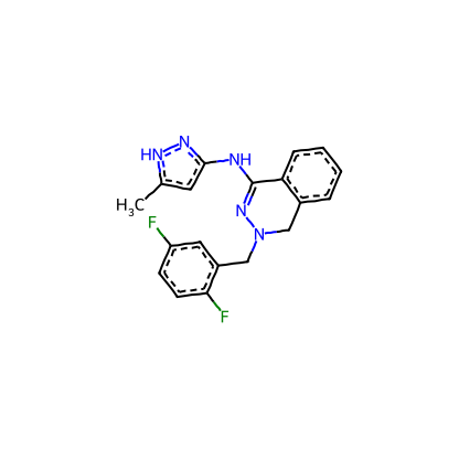 Cc1cc(NC2=NN(Cc3cc(F)ccc3F)Cc3ccccc32)n[nH]1